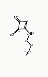 O=c1cc(NCCC(F)(F)F)c1=O